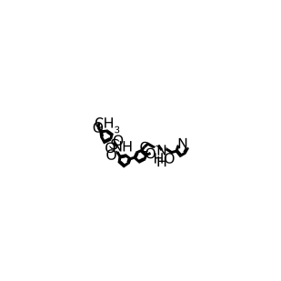 COc1ccc(S(=O)(=O)NC(=O)c2cccc(-c3ccc4c(c3)CC[C@H](CNC[C@H](O)c3cccnc3)O4)c2)cc1